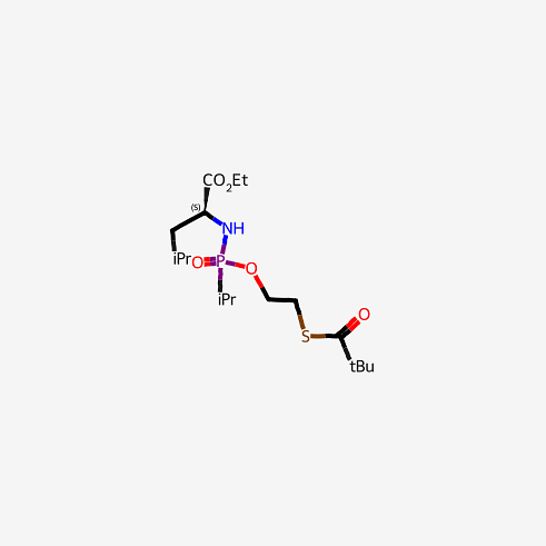 CCOC(=O)[C@H](CC(C)C)NP(=O)(OCCSC(=O)C(C)(C)C)C(C)C